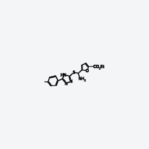 CCOC(=O)c1ccc(C(N)Sc2nnc(-c3ccc(C)cc3)[nH]2)o1